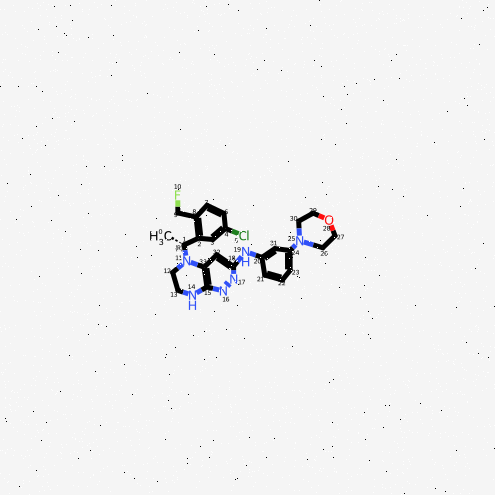 C[C@H](c1cc(Cl)ccc1CF)N1CCNc2nnc(Nc3cccc(N4CCOCC4)c3)cc21